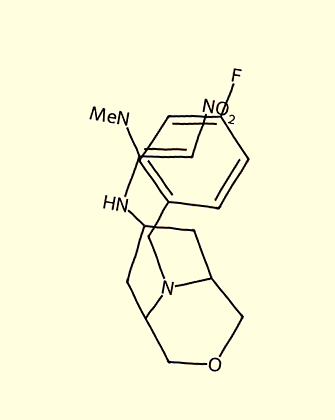 CNC(=C[N+](=O)[O-])NC1CC2COCC(C1)N2Cc1ccc(F)cc1